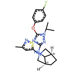 Cc1cc(N2C[C@H]3CC[C@@H](C2)C3Nc2nc(Oc3ccc(F)cc3)n(C(C)C)n2)sn1